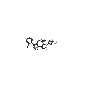 C[C@]1(O)C[C@@H](n2ncc(-c3onc(-c4ccccc4Cl)c3CO)c2C(F)(F)F)C1